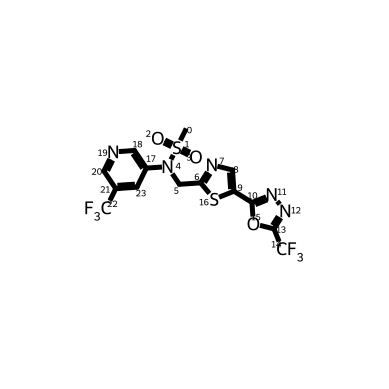 CS(=O)(=O)N(Cc1ncc(-c2nnc(C(F)(F)F)o2)s1)c1cncc(C(F)(F)F)c1